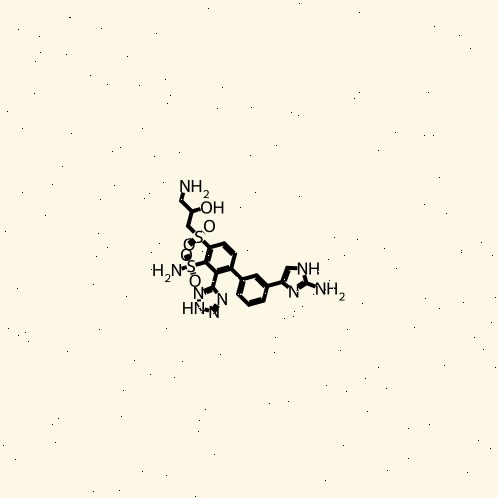 NCC(O)CS(=O)(=O)c1ccc(-c2cccc(-c3c[nH]c(N)n3)c2)c(-c2nn[nH]n2)c1S(N)(=O)=O